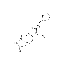 CN(C(=O)OCc1ccccc1)C1CCC2(CC1)CC(=O)NN2